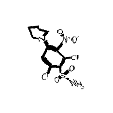 NS(=O)(=O)c1c(Cl)cc(N2CCCC2)c([N+](=O)[O-])c1Cl